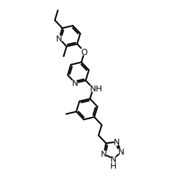 CCc1ccc(Oc2ccnc(Nc3cc(C)cc(CCc4nn[nH]n4)c3)c2)c(C)n1